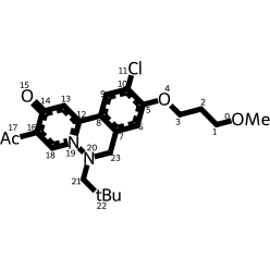 COCCCOc1cc2c(cc1Cl)-c1cc(=O)c(C(C)=O)cn1N(CC(C)(C)C)C2